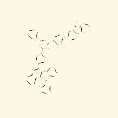 CC1C=CC2=C(C1)c1ccc(-c3ccc(-c4nc(-c5ccccc5)nc(-c5ccc(-c6nc7ccccc7c7c6c6ccccc6n7-c6ccccc6)cc5)n4)cc3)cc1C2(C)C